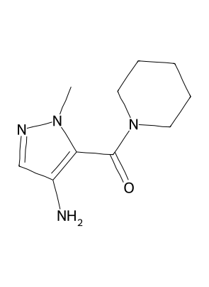 Cn1ncc(N)c1C(=O)N1CCCCC1